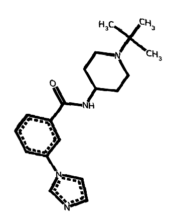 CC(C)(C)N1CCC(NC(=O)c2cccc(-n3ccnc3)c2)CC1